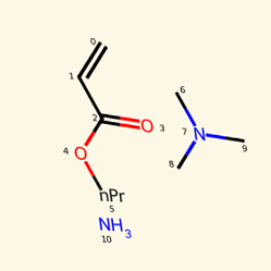 C=CC(=O)OCCC.CN(C)C.N